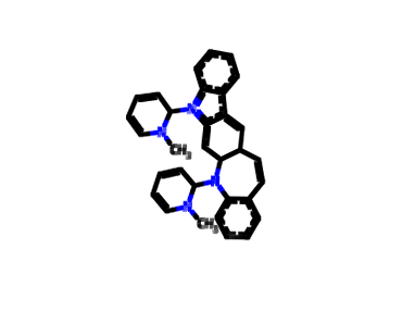 CN1C=CC=CC1N1c2ccccc2C=CC2C=c3c(n(C4C=CC=CN4C)c4ccccc34)=CC21